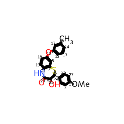 COc1ccc([C@H]2Sc3cc(Oc4cccc(C)c4)ccc3NC(=O)[C@H]2O)cc1